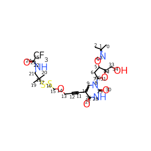 CC(C)=NOC1C[C@H](n2cc(C#CCOCSSC(C)(C)CNC(=O)C(F)(F)F)c(=O)[nH]c2=O)O[C@@H]1CO